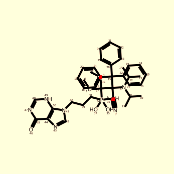 COC(OC)(C(C#N)(N(C(C)C)C(C)C)C(c1ccccc1)(c1ccccc1)c1ccccc1)P(O)(O)(O)CCCn1cnc2c(=O)nc[nH]c21